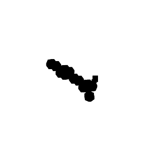 N#Cc1ccc2c3c1ccc1c(-c4ccc5cc(-c6ccc7ccc8c(-c9ccc%10ccccc%10c9)ccc9ccc6c7c98)ccc5c4)ccc(c13)n2-c1ccccc1